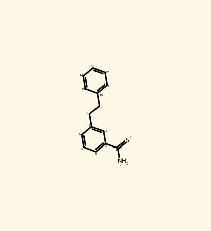 NC(=S)c1cccc(CCc2ccccc2)c1